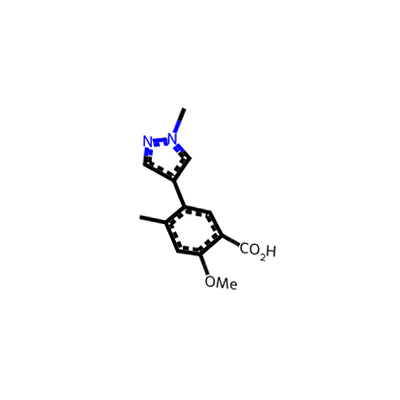 COc1cc(C)c(-c2cnn(C)c2)cc1C(=O)O